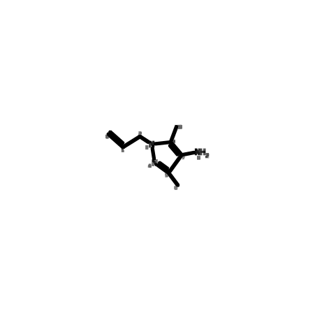 C=CCn1nc(C)c(N)c1C